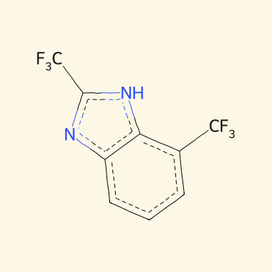 FC(F)(F)c1nc2cccc(C(F)(F)F)c2[nH]1